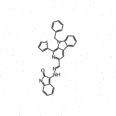 O=C1N=c2ccccc2=C1N/N=C/c1cc2c3ccccc3n(Cc3ccccc3)c2c(-c2cccs2)n1